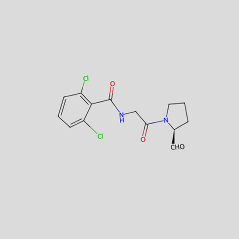 O=C[C@@H]1CCCN1C(=O)CNC(=O)c1c(Cl)cccc1Cl